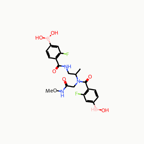 CONC(=O)CN(C(=O)c1ccc(BO)cc1F)C(C)CNC(=O)c1ccc(B(O)O)cc1F